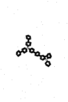 C1=CCC(n2c3ccccc3c3cc(-c4ccc(-c5ccc(N(c6ccc(-c7ccccc7)cc6)c6ccc(-c7ccccc7)cc6)cc5)cc4)ccc32)C=C1